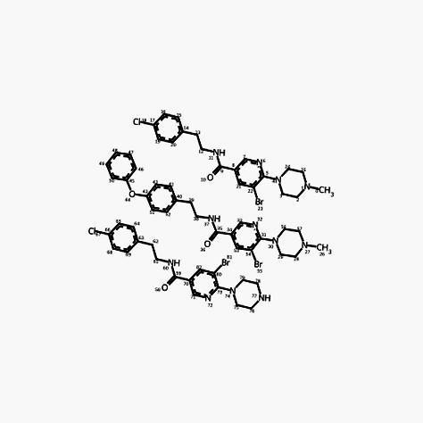 CN1CCN(c2ncc(C(=O)NCCc3ccc(Cl)cc3)cc2Br)CC1.CN1CCN(c2ncc(C(=O)NCCc3ccc(Oc4ccccc4)cc3)cc2Br)CC1.O=C(NCCc1ccc(Cl)cc1)c1cnc(N2CCNCC2)c(Br)c1